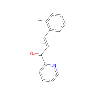 Cc1ccccc1/C=C/C(=O)c1ccccn1